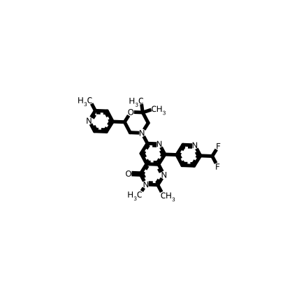 Cc1cc(C2CN(c3cc4c(=O)n(C)c(C)nc4c(-c4ccc(C(F)F)nc4)n3)CC(C)(C)O2)ccn1